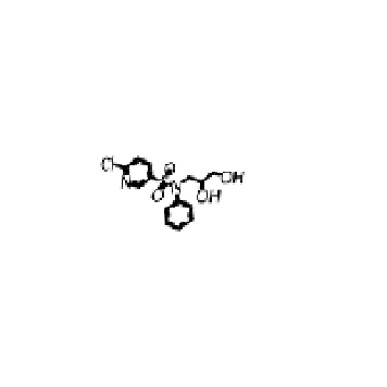 O=S(=O)(c1ccc(Cl)nc1)N(CC(O)CO)c1ccccc1